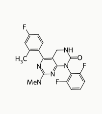 CNc1nc(-c2ccc(F)cc2C)c2c(n1)N(c1c(F)cccc1F)C(=O)NC2